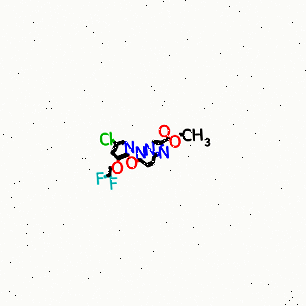 CCOC(=O)c1cn2nc(Oc3ncc(Cl)cc3OCC(F)F)ccc2n1